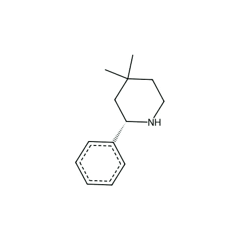 CC1(C)CCN[C@H](c2ccccc2)C1